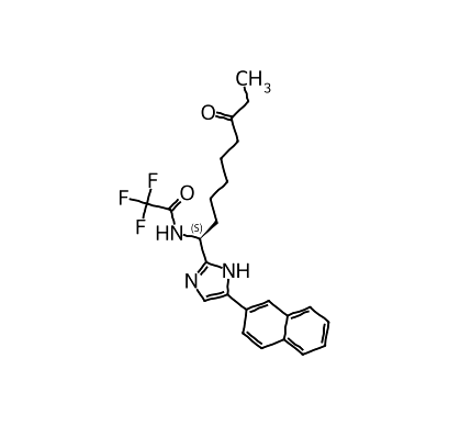 CCC(=O)CCCCC[C@H](NC(=O)C(F)(F)F)c1ncc(-c2ccc3ccccc3c2)[nH]1